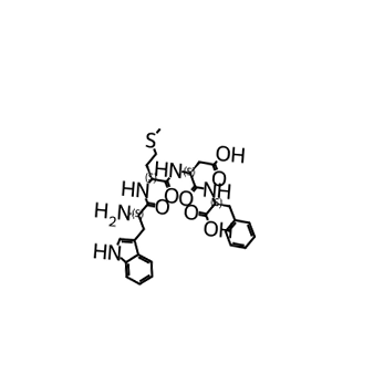 CSCC[C@H](NC(=O)[C@@H](N)Cc1c[nH]c2ccccc12)C(=O)N[C@@H](CC(=O)O)C(=O)N[C@@H](Cc1ccccc1)C(=O)O